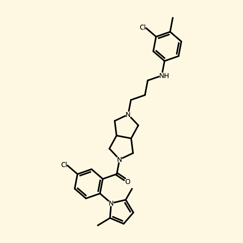 Cc1ccc(NCCCN2CC3CN(C(=O)c4cc(Cl)ccc4-n4c(C)ccc4C)CC3C2)cc1Cl